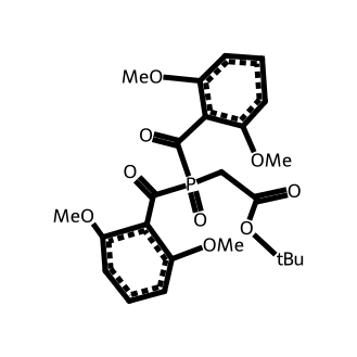 COc1cccc(OC)c1C(=O)P(=O)(CC(=O)OC(C)(C)C)C(=O)c1c(OC)cccc1OC